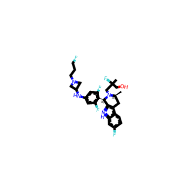 C[C@H]1Cc2c([nH]c3cc(F)ccc23)[C@H](c2c(F)cc(NC3CN(CCCF)C3)cc2F)N1CC(C)(F)CO